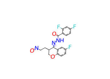 O=NCCC1COc2ccc(F)cc2/C1=N\NC(=O)c1ccc(F)cc1F